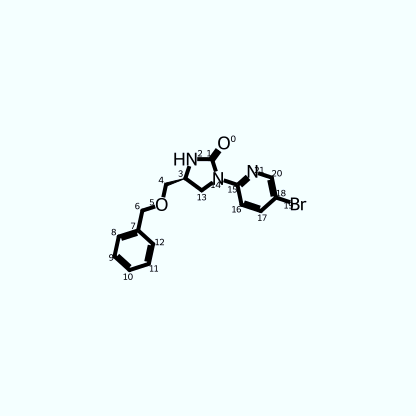 O=C1N[C@H](COCc2ccccc2)CN1c1ccc(Br)cn1